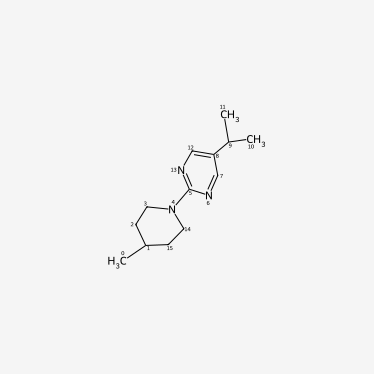 CC1CCN(c2ncc(C(C)C)cn2)CC1